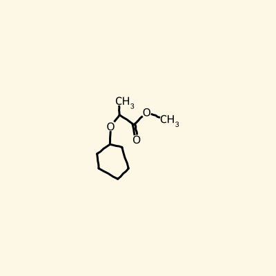 COC(=O)C(C)OC1CCCCC1